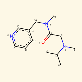 CC(C)N(C)CC(=O)N(C)Cc1cccnc1